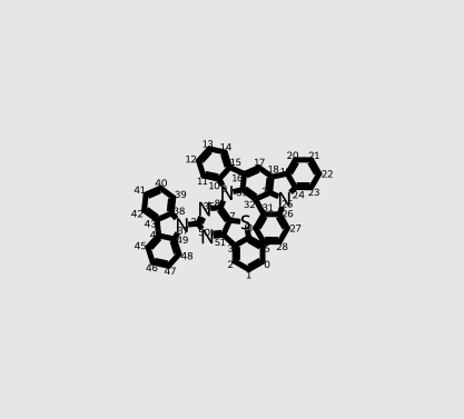 c1ccc2c(c1)sc1c(-n3c4ccccc4c4cc5c6ccccc6n6c7ccccc7c(c43)c56)nc(-n3c4ccccc4c4ccccc43)nc12